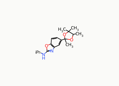 CC(C)Nc1nc2cc(C3(C)OC(C)C(C)(C)O3)ccc2o1